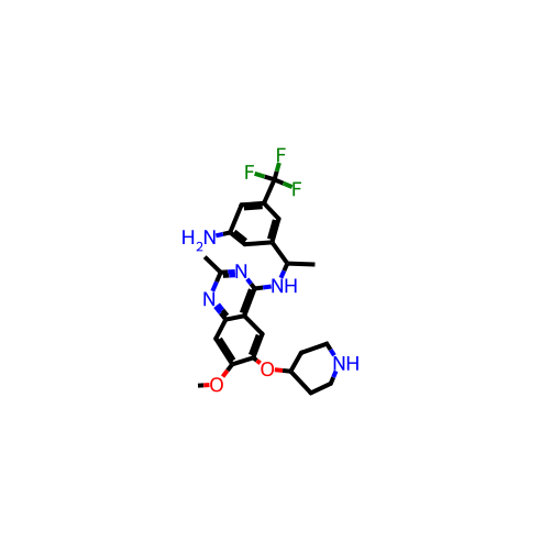 COc1cc2nc(C)nc(NC(C)c3cc(N)cc(C(F)(F)F)c3)c2cc1OC1CCNCC1